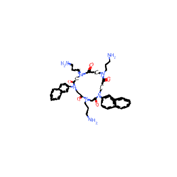 NCCCN1CC(=O)N(CCCN)CC(=O)N(c2ccc3ccccc3c2)CC(=O)N(CCCN)CC(=O)N(c2ccc3ccccc3c2)CC1=O